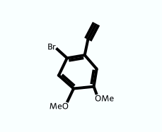 C#Cc1cc(OC)c(OC)cc1Br